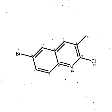 Cc1cc2cc(Br)ccc2nc1Cl